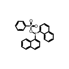 O=S(=O)(O[I+](c1cccc2ccccc12)c1cccc2ccccc12)c1ccccc1